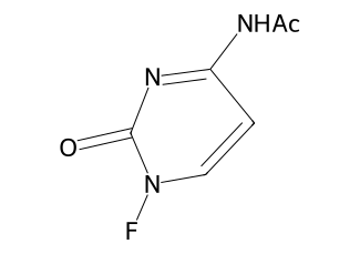 CC(=O)Nc1ccn(F)c(=O)n1